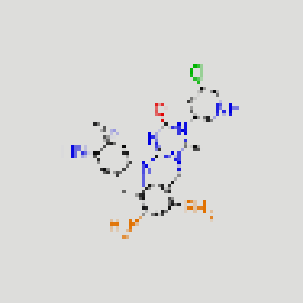 C=C1N(Cc2cc(C)c(P)cc2P)C(NC2=C/C(=C/C)C(=N)C=C2)=NC(=O)N1C1=CNCC(Cl)=C1